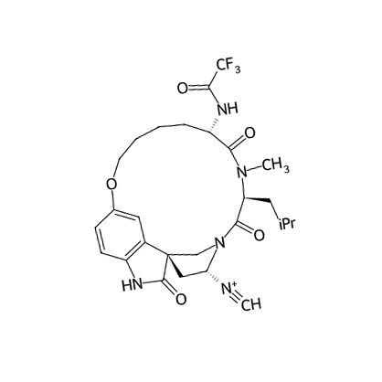 C#[N+][C@@H]1C[C@]23CN1C(=O)[C@H](CC(C)C)N(C)C(=O)[C@@H](NC(=O)C(F)(F)F)CCCCOc1ccc(c2c1)NC3=O